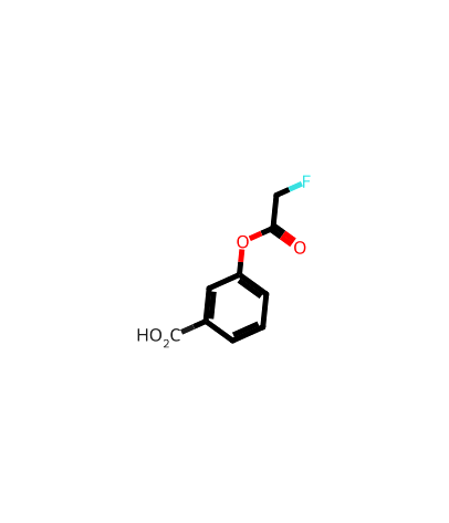 O=C(CF)Oc1cccc(C(=O)O)c1